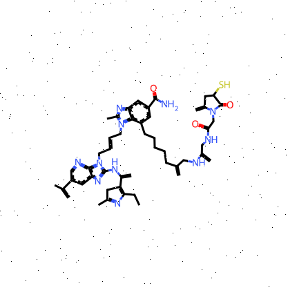 C=C(CCCCCc1cc(C(N)=O)cc2nc(C)n(C/C=C/Cn3c(NC(=C)C4=C(CC)N=C(C)C4)nc4cc(C(=C)C)cnc43)c12)CNC(=C)CNC(=O)CN1C(=C)CC(S)C1=O